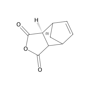 O=C1OC(=O)[C@H]2C3C=CC(C3)C12